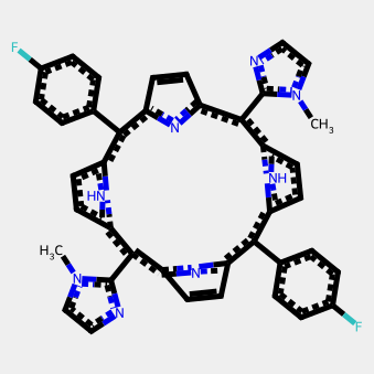 Cn1ccnc1-c1c2nc(c(-c3ccc(F)cc3)c3ccc([nH]3)c(-c3nccn3C)c3nc(c(-c4ccc(F)cc4)c4ccc1[nH]4)C=C3)C=C2